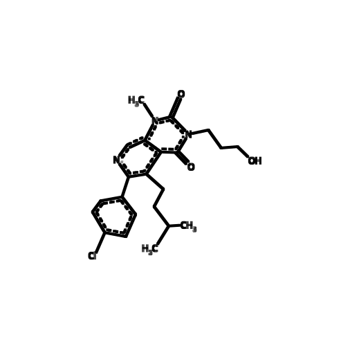 CC(C)CCc1c(-c2ccc(Cl)cc2)ncc2c1c(=O)n(CCCO)c(=O)n2C